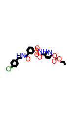 CCCOC(=O)Oc1ccc(C(=O)NS(=O)(=O)c2cccc(C(=O)NCCc3ccc(Cl)cc3)c2)cn1